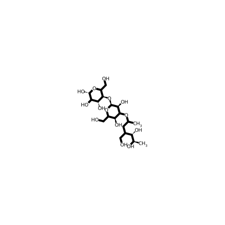 CC(CC(CO)[C@H](O)[C@@H](C)O)OC1[C@@H](O)C(CO)O[C@@H](O[C@@H]2C(CO)O[C@@H](O)C(O)[C@H]2O)[C@H]1O